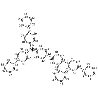 c1ccc(-c2ccc(-c3ccc(-c4ccc(N(c5ccc(-c6ccccc6)cc5)c5ccc(-c6ccccc6)cc5)cc4)cc3-c3ccccc3)cc2)cc1